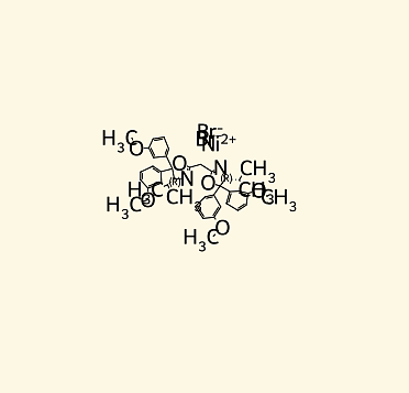 COc1cccc(C2(c3cccc(OC)c3)OC(CC3=N[C@H](C(C)C)C(c4cccc(OC)c4)(c4cccc(OC)c4)O3)=N[C@@H]2C(C)C)c1.[Br-].[Br-].[Ni+2]